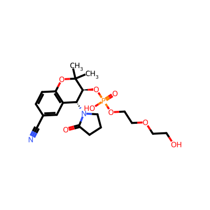 CC1(C)Oc2ccc(C#N)cc2[C@@H](N2CCCC2=O)[C@@H]1OP(=O)(O)OCCOCCO